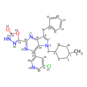 CC1CCC(Cn2cc(Cc3ccccc3)c3nc(-c4n[nH]c(=O)o4)nc(-c4cncc(Cl)c4)c32)CC1